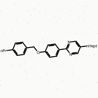 CCCCCCCc1cnc(-c2ccc(OCc3ccc(CCC)cc3)cc2)nc1